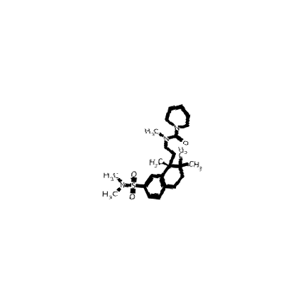 CN(CC[C@@]1(C)c2cc(S(=O)(=O)N(C)C)ccc2CCC1(C)C)C(=O)N1CCCCC1